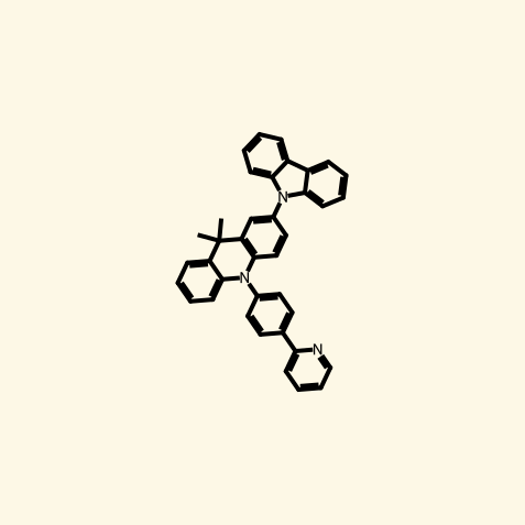 CC1(C)c2ccccc2N(c2ccc(-c3ccccn3)cc2)c2ccc(-n3c4ccccc4c4ccccc43)cc21